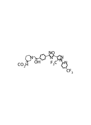 O=C(O)[C@H]1CCCN(C[C@@H](O)c2ccc(-c3noc(-c4cnn(-c5ccc(C(F)(F)F)cn5)c4C(F)(F)F)n3)cc2)C1